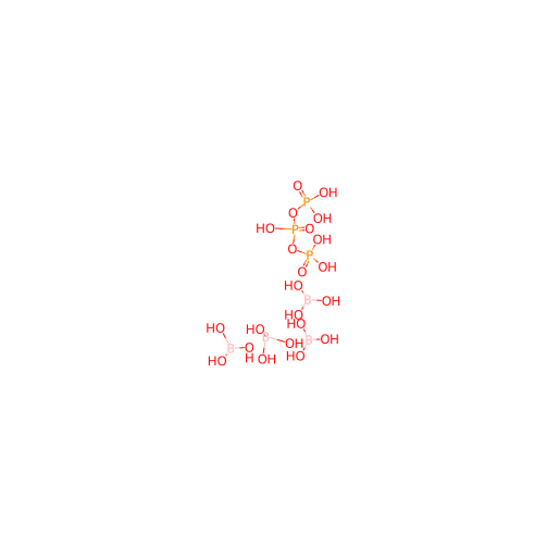 O=P(O)(O)OP(=O)(O)OP(=O)(O)O.OB(O)O.OB(O)O.OB(O)O.OB(O)O